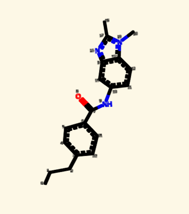 CCCc1ccc(C(=O)Nc2ccc3c(c2)nc(C)n3C)cc1